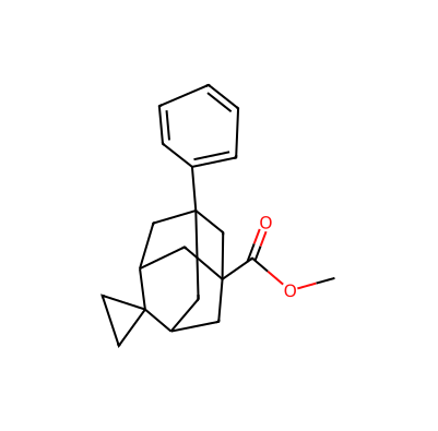 COC(=O)C12CC3CC(c4ccccc4)(CC(C1)C31CC1)C2